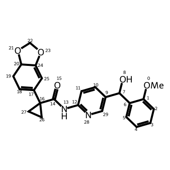 COc1ccccc1C(O)c1ccc(NC(=O)C2(C3=CCC4OCOC4=C3)CC2)nc1